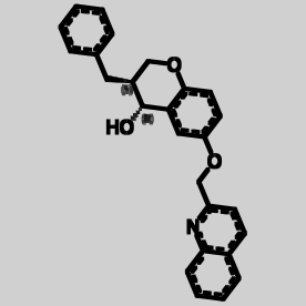 O[C@H]1c2cc(OCc3ccc4ccccc4n3)ccc2OC[C@@H]1Cc1ccccc1